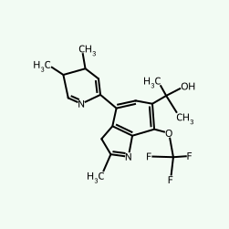 CC1=Nc2c(c(C3=CC(C)C(C)C=N3)cc(C(C)(C)O)c2OC(F)(F)F)C1